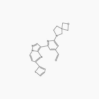 O=Cc1cc(-c2cnn3ccc(-c4cccs4)nc23)nc(N2CCC3(COC3)C2)c1